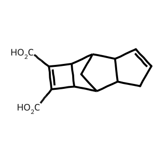 O=C(O)C1=C(C(=O)O)C2C3CC(C4C=CCC43)C12